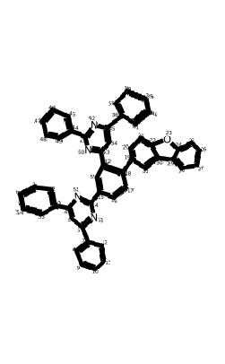 c1ccc(-c2cc(-c3ccccc3)nc(-c3ccc(-c4ccc5oc6ccccc6c5c4)c(-c4cc(-c5ccccc5)nc(-c5ccccc5)n4)c3)n2)cc1